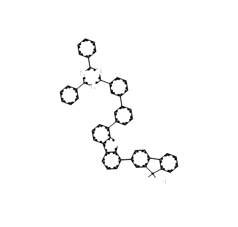 CC1(C)c2ccccc2-c2ccc(-c3cccc4c3oc3c(-c5cccc(-c6cccc(-c7nc(-c8ccccc8)nc(-c8ccccc8)n7)c6)c5)cccc34)cc21